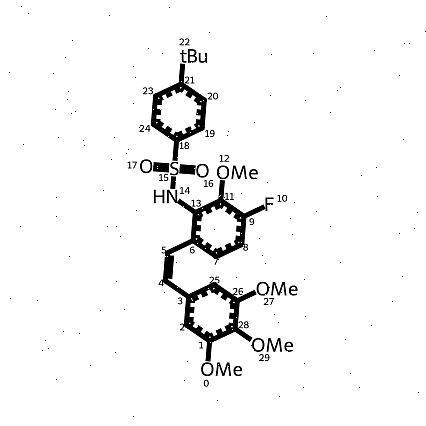 COc1cc(/C=C\c2ccc(F)c(OC)c2NS(=O)(=O)c2ccc(C(C)(C)C)cc2)cc(OC)c1OC